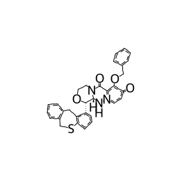 O=C1c2c(OCc3ccccc3)c(=O)ccn2N[C@@H]2[C@H](c3cccc4c3Cc3ccccc3CS4)OCCN12